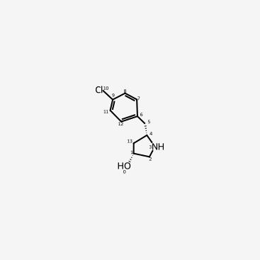 O[C@H]1CN[C@@H](Cc2ccc(Cl)cc2)C1